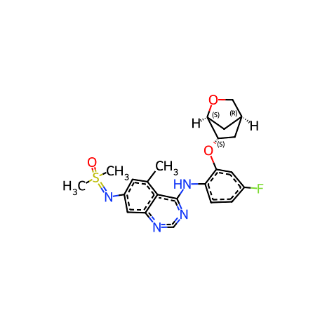 Cc1cc(N=S(C)(C)=O)cc2ncnc(Nc3ccc(F)cc3O[C@H]3C[C@@H]4CO[C@H]3C4)c12